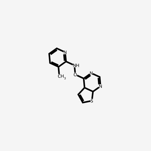 Cc1cccnc1NOC1=NC=NC2SC=CC12